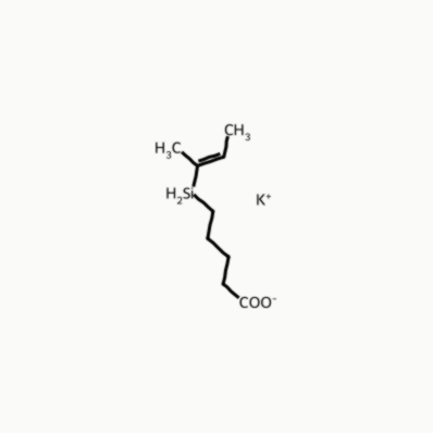 CC=C(C)[SiH2]CCCCC(=O)[O-].[K+]